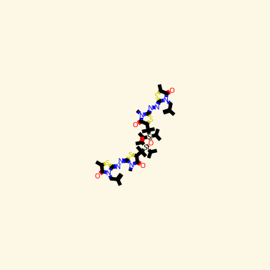 C=C(C)CN1C(=O)C(C)SC1=NN=C1SC(C(C)(C)[Si](O[Si](C(C)C)(C(C)C)C(C)(C)C2SC(=NN=C3SC(C)C(=O)N3CC(=C)C)N(C)C2=O)(C(C)C)C(C)C)C(=O)N1C